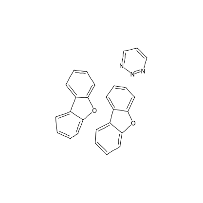 c1ccc2c(c1)oc1ccccc12.c1ccc2c(c1)oc1ccccc12.c1cnnnc1